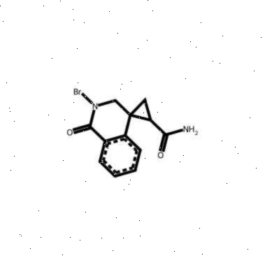 NC(=O)C1CC12CN(Br)C(=O)c1ccccc12